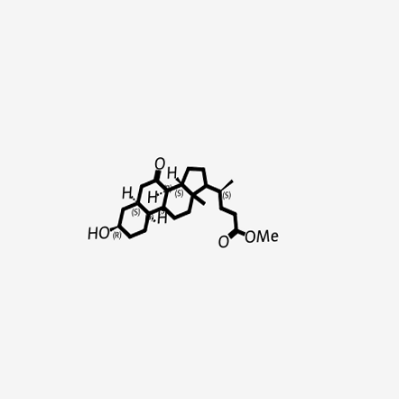 COC(=O)CC[C@H](C)C1CC[C@H]2[C@@H]3C(=O)C[C@@H]4C[C@H](O)CC[C@]4(C)[C@H]3CCC12C